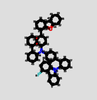 Fc1cccc2c1c1ccccc1n2-c1ccccc1-c1ccc(N(c2ccc(-c3cccc4c3oc3ccccc34)cc2)c2ccccc2-c2ccccc2)cc1